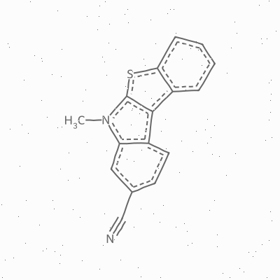 Cn1c2cc(C#N)ccc2c2c3ccccc3sc21